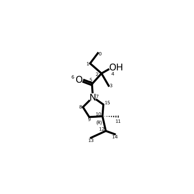 CCC(C)(O)C(=O)N1CC[C@](C)(C(C)C)C1